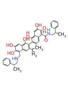 Cc1cc2c(CNC[C@H](C)c3ccccc3)c(O)c(O)cc2c(O)c1-c1c(C)cc2c(C(=O)NC[C@H](C)c3ccccc3)c(O)c(O)cc2c1O